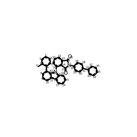 Cc1ccccc1-c1cccc2c3ccccc3n(-c3cccc4c3C(=O)N(c3ccc(-c5ccccc5)cc3)C4=O)c12